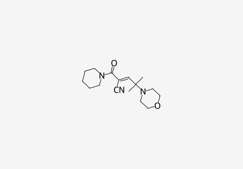 CC(C)(/C=C(\C#N)C(=O)N1CCCCC1)N1CCOCC1